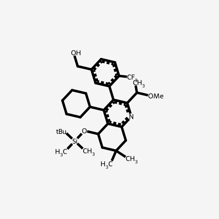 COC(C)c1nc2c(c(C3CCCCC3)c1-c1cc(CO)ccc1C(F)(F)F)C(O[Si](C)(C)C(C)(C)C)CC(C)(C)C2